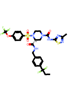 CCC(F)(F)c1ccc(CNC(=O)[C@H]2CN(C(=O)Nc3nc(C)ns3)CCN2S(=O)(=O)c2ccc(OC(F)(F)F)cc2)cc1